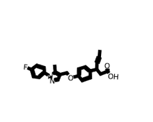 CC#CC(CC(=O)O)c1ccc(OCc2cnn(-c3ccc(F)cc3)c2C)cc1